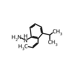 C/C=C\c1c(NN)cccc1C(C)C